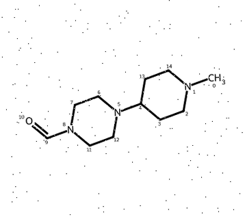 CN1CCC(N2CCN([C]=O)CC2)CC1